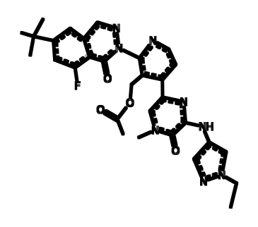 CCn1cc(Nc2nc(-c3ccnc(-n4ncc5cc(C(C)(C)C)cc(F)c5c4=O)c3COC(C)=O)cn(C)c2=O)cn1